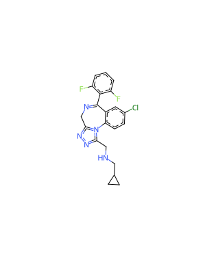 Fc1cccc(F)c1C1=NCc2nnc(CNCC3CC3)n2-c2ccc(Cl)cc21